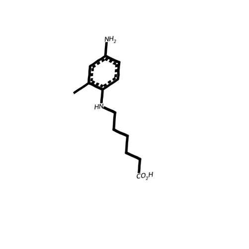 Cc1cc(N)ccc1NCCCCCC(=O)O